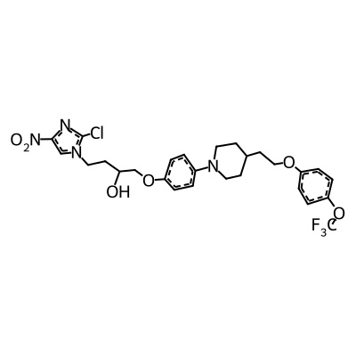 O=[N+]([O-])c1cn(CCC(O)COc2ccc(N3CCC(CCOc4ccc(OC(F)(F)F)cc4)CC3)cc2)c(Cl)n1